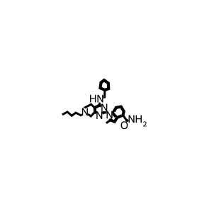 CCCCCN1CCc2c(nc(-n3c(C)cc4c(C(N)=O)cccc43)nc2NCc2ccccc2)C1